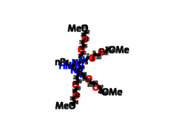 CCCNc1nc(N(CCOCCOCCOC)CCOCCOCCOC)nc(N(CCOCCOCCOC)CCOCCOCCOC)n1